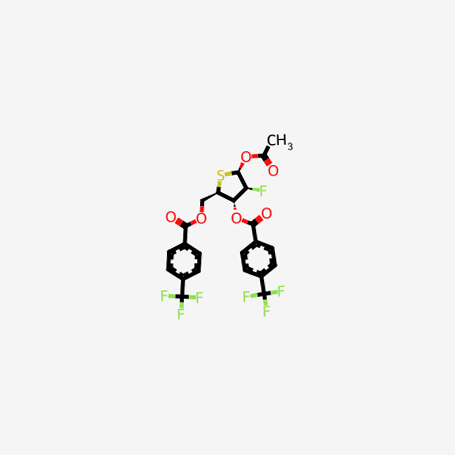 CC(=O)O[C@@H]1S[C@H](COC(=O)c2ccc(C(F)(F)F)cc2)[C@@H](OC(=O)c2ccc(C(F)(F)F)cc2)[C@@H]1F